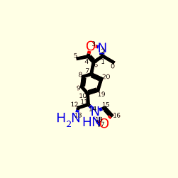 Cc1noc(C)c1-c1ccc(C(CN)N2C=CON2)cc1